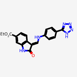 CCOC(=O)c1ccc2c(c1)NC(=O)/C2=C/Nc1ccc(-c2nnn[nH]2)cc1